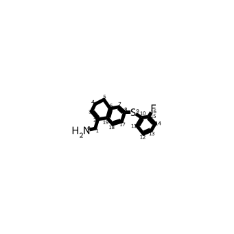 NCC1=CCCc2cc(Sc3ccccc3F)ccc21